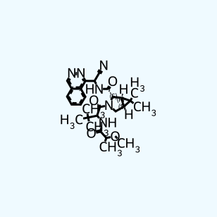 COC(C)C(=O)NC(C(=O)N1C[C@H]2[C@@H]([C@H]1C(=O)NC(C#N)c1nncc3ccccc13)C2(C)C)C(C)(C)C